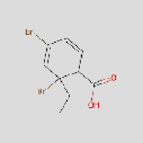 CCC1(Br)C=C(Br)C=CC1C(=O)O